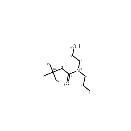 CCCN(CCO)C(=O)CC(C)(C)C